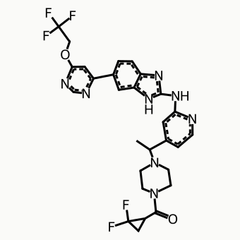 CC(c1ccnc(Nc2nc3ccc(-c4cc(OCC(F)(F)F)ncn4)cc3[nH]2)c1)N1CCN(C(=O)C2CC2(F)F)CC1